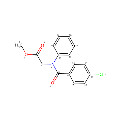 COC(=O)CN(C(=O)c1ccc(Cl)cc1)c1ccccc1